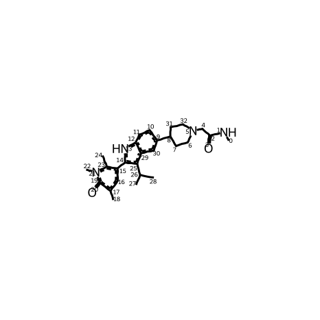 CNC(=O)CN1CCC(c2ccc3[nH]c(-c4cc(C)c(=O)n(C)c4C)c(C(C)C)c3c2)CC1